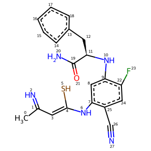 CC(=N)/C=C(\S)Nc1cc(N[C@H](Cc2ccccc2)C(N)=O)c(F)cc1C#N